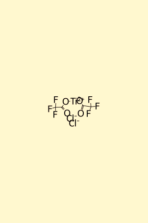 O=C([O][Ti+2][O]C(=O)C(F)(F)F)C(F)(F)F.[Cl-].[Cl-]